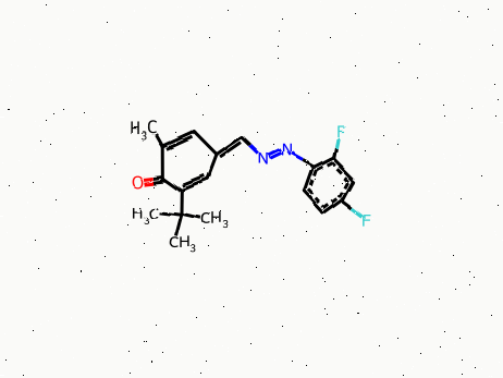 CC1=CC(=CN=Nc2ccc(F)cc2F)C=C(C(C)(C)C)C1=O